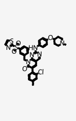 Cc1ccc(-c2cc3cnc(Nc4ccc(OC5CCN(C)CC5)cc4)nc3n(Cc3cccc(S(=O)(=O)c4nccs4)c3)c2=O)c(Cl)c1